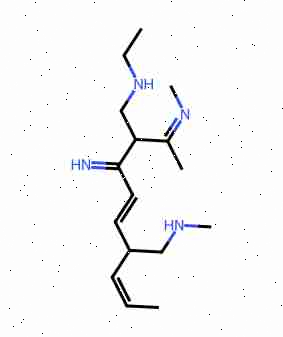 C/C=C\C(/C=C/C(=N)C(CNCC)/C(C)=N\C)CNC